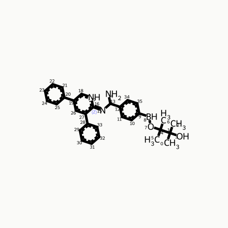 CC(C)(O)C(C)(C)OBc1ccc(C(N)/N=c2\[nH]cc(-c3ccccc3)cc2-c2ccccc2)cc1